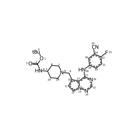 CC(C)(C)OC(=O)NC1CCN(Cc2ccn3ncnc(Nc4ccc(F)c(C#N)c4)c23)CC1